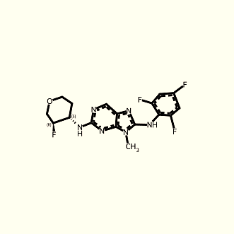 Cn1c(Nc2c(F)cc(F)cc2F)nc2cnc(N[C@H]3CCOC[C@@H]3F)nc21